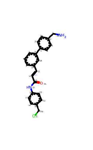 NCc1ccc(-c2cccc(/C=C/C(=O)Nc3ccc(CCl)cc3)c2)cc1